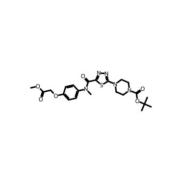 COC(=O)COc1ccc(N(C)C(=O)c2nnc(N3CCN(C(=O)OC(C)(C)C)CC3)s2)cc1